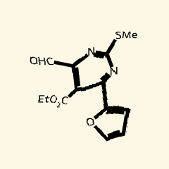 CCOC(=O)c1c(C=O)nc(SC)nc1-c1ccco1